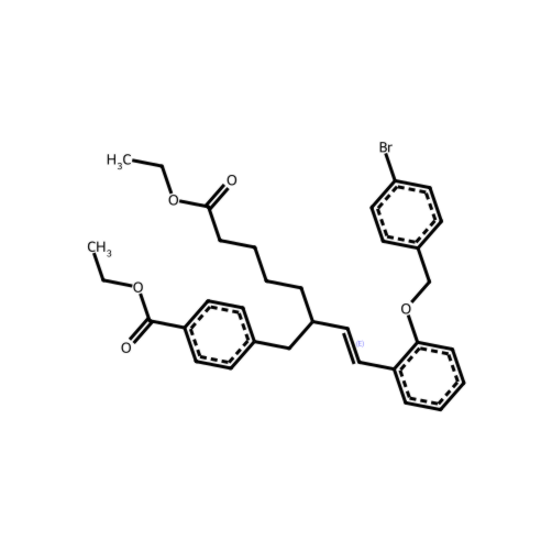 CCOC(=O)CCCCC(/C=C/c1ccccc1OCc1ccc(Br)cc1)Cc1ccc(C(=O)OCC)cc1